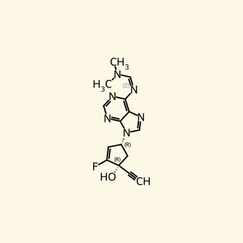 C#C[C@]1(O)C[C@@H](n2cnc3c(/N=C\N(C)C)ncnc32)C=C1F